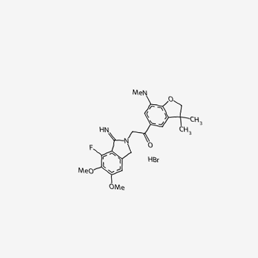 Br.CNc1cc(C(=O)CN2Cc3cc(OC)c(OC)c(F)c3C2=N)cc2c1OCC2(C)C